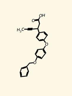 CC#CC(CC(=O)O)c1ccc(Oc2ccc(OCc3ccccc3)cc2)cc1